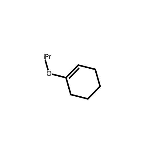 CC(C)OC1=CCCCC1